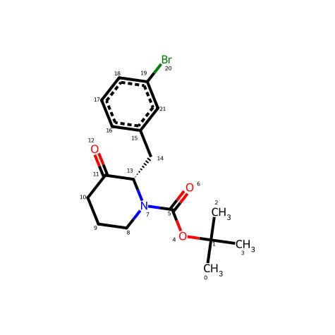 CC(C)(C)OC(=O)N1CCCC(=O)[C@@H]1Cc1cccc(Br)c1